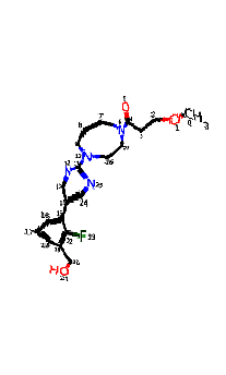 COCCC(=O)N1CCCN(c2ncc(-c3cccc(CO)c3F)cn2)CC1